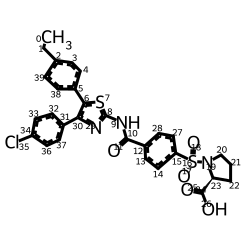 CCc1ccc(-c2sc(NC(=O)c3ccc(S(=O)(=O)N4CCC[C@H]4C(=O)O)cc3)nc2-c2ccc(Cl)cc2)cc1